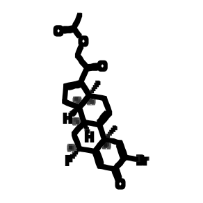 CC(=O)OCC(=O)C1=CC[C@H]2[C@@H]3C[C@@H](F)C4=CC(=O)C(Br)=C[C@]4(C)C3=CC[C@]12C